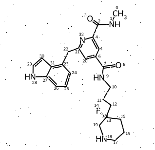 CNC(=O)c1cc(C(=O)NCCC[C@@]2(F)CCCNC2)cc(Cc2cccc3[nH]ccc23)n1